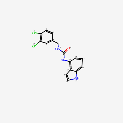 O=C(NCc1ccc(Cl)c(Cl)c1)Nc1cccc2[nH]ccc12